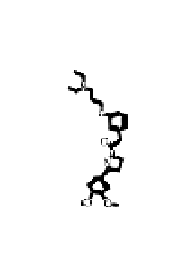 CCN(CC)CCCOc1cccc(CC(=O)N2CCC(c3ccc(OC)c(OC)c3)=N2)c1